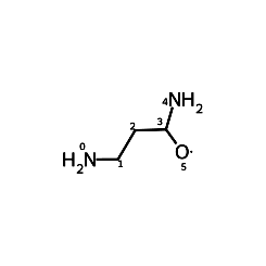 NCCC(N)[O]